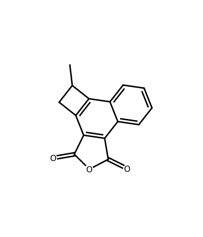 CC1Cc2c3c(c4ccccc4c21)C(=O)OC3=O